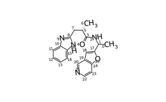 CC(NC(=O)[C@@H](C)Cc1nc2ccccc2[nH]1)c1cc2cnccc2o1